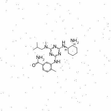 Cc1ccc(C(N)=O)cc1Nc1nc(N[C@@H]2CCCC[C@H]2N)nc(N(C)CC(C)C)n1